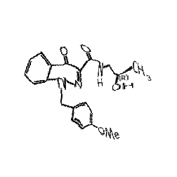 COc1ccc(Cn2nc(C(=O)NC[C@@H](C)O)c(=O)c3ccccc32)cc1